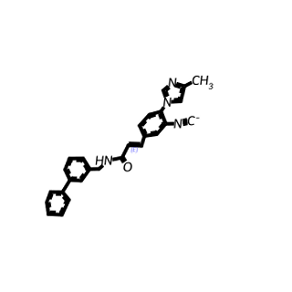 [C-]#[N+]c1cc(/C=C/C(=O)NCc2cccc(-c3ccccc3)c2)ccc1-n1cnc(C)c1